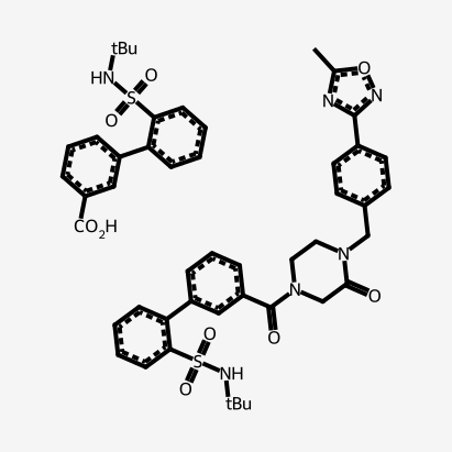 CC(C)(C)NS(=O)(=O)c1ccccc1-c1cccc(C(=O)O)c1.Cc1nc(-c2ccc(CN3CCN(C(=O)c4cccc(-c5ccccc5S(=O)(=O)NC(C)(C)C)c4)CC3=O)cc2)no1